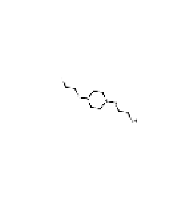 OCCON1CCN(OCCO)CC1